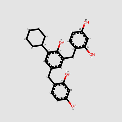 Oc1ccc(Cc2cc(Cc3ccc(O)cc3O)c(O)c(C3CCCCC3)c2)c(O)c1